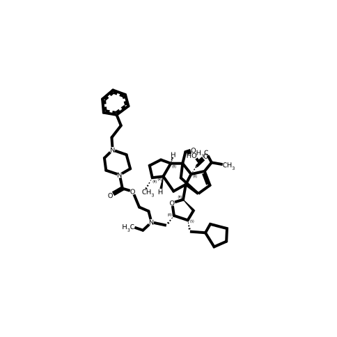 CCN(CCOC(=O)N1CCN(CCc2ccccc2)CC1)C[C@@H]1O[C@@H](C23C[C@@H]4[C@H](C)CC[C@H]4C4(C=O)CC2C=C(C(C)C)[C@]43C(=O)O)C[C@@H]1CC1CCCC1